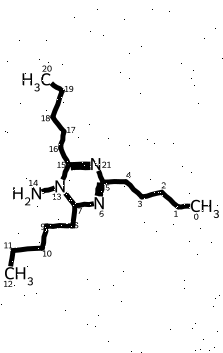 CCCCCC1=NC(CCCCC)N(N)C(CCCCC)=N1